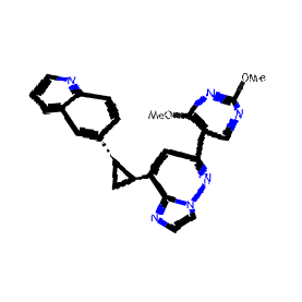 COc1ncc(-c2cc([C@H]3C[C@@H]3c3ccc4ncccc4c3)c3nccn3n2)c(OC)n1